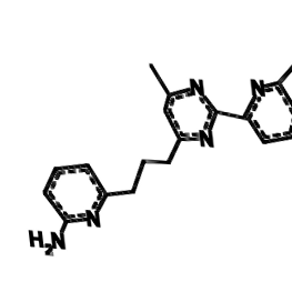 Cc1cccc(-c2nc(C)cc(CCCc3cccc(N)n3)n2)n1